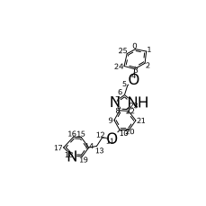 c1ccc(OCc2nc3cc(OCCc4cccnc4)ccc3[nH]2)cc1